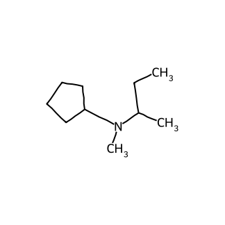 CCC(C)N(C)C1CCCC1